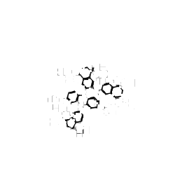 Cc1cc2c(cc1N1c3cc4c(cc3B3c5ccc(C(C)(C)C)cc5N(c5ccc6c(c5C)C(C)(C)CC6(C)C)c5cc(C(C)(C)C)cc1c53)C(C)(C)CCC4(C)C)C(C)(C)CCC2(C)C